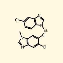 CCn1cnc2cc(Cl)ccc21.Cn1cnc2cc(Cl)c(Cl)cc21